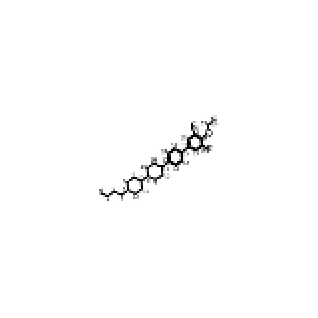 CCCCC1CCC(C2CCC(c3ccc(-c4cc(F)c(OCF)c(F)c4)cc3)CC2)CC1